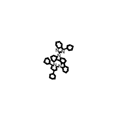 c1ccc(-c2cc(-c3ccccc3)nc(-n3c4ccccc4c4ccc5c(c6ccccc6n5-c5nc(-c6ccccc6)c6ccccc6n5)c43)c2)cc1